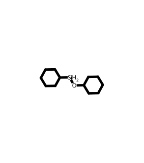 C1CCC(O[SiH2]C2CCCCC2)CC1